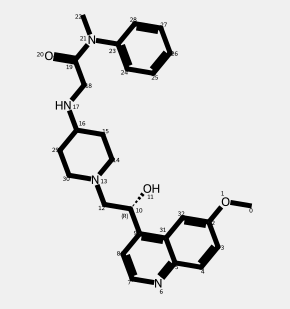 COc1ccc2nccc([C@@H](O)CN3CCC(NCC(=O)N(C)c4ccccc4)CC3)c2c1